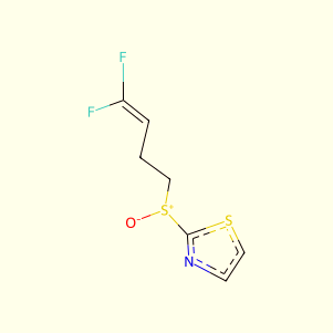 [O-][S+](CCC=C(F)F)c1nccs1